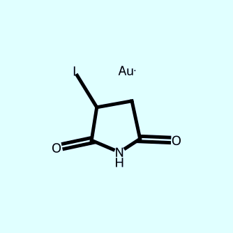 O=C1CC(I)C(=O)N1.[Au]